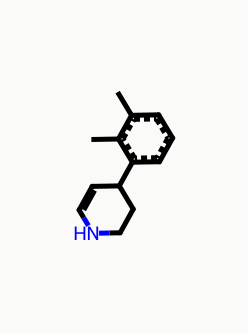 Cc1cccc(C2C=CNCC2)c1C